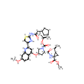 C=CC1C[C@]1(NC(=O)[C@@H]1C[C@@H](Oc2cc(-c3csc(NC(=O)CC4CCCC4)n3)nc3cc(OC)ccc23)CN1C(=O)OC(=C)C)C(=O)OC